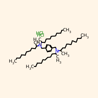 CCCCCCCCCC(C)N(Cc1ccc(CN(C(C)CCCCCCCCC)C(C)CCCCCCCCC)cc1)C(C)CCCCCCCCC.Cl.Cl